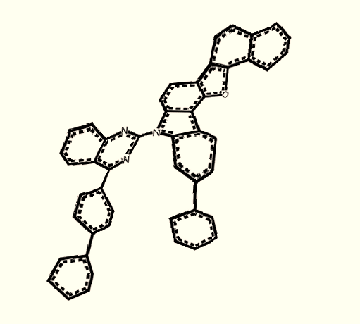 c1ccc(-c2ccc(-c3nc(-n4c5cc(-c6ccccc6)ccc5c5c6oc7c8ccccc8ccc7c6ccc54)nc4ccccc34)cc2)cc1